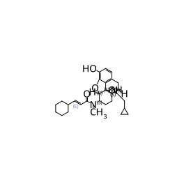 CN(C(=O)/C=C/C1CCCCC1)[C@H]1CC[C@@]2(O)[C@H]3Cc4ccc(O)c5c4[C@@]2(CCN3CC2CC2)[C@H]1O5